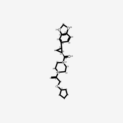 C=C(CSC1CCCC1)N1CCN(C(=O)[C@H]2CC2c2ccc3c(c2)OCO3)CC1